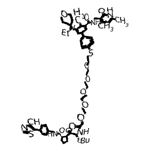 CCN(c1cc(-c2ccc(SCCOCCOCCOCCOCCOCC(=O)NC(C(=O)C3CCC[C@H]3C(=O)NCc3ccc(-c4scnc4C)cc3)C(C)(C)C)cc2)cc(C(=O)NCc2c(C)cc(C)[nH]c2=O)c1C)C1CCOCC1